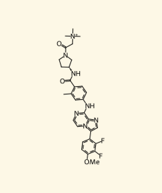 COc1ccc(-c2cnc3c(Nc4ccc(C(=O)N[C@H]5CCN(C(=O)C[N+](C)(C)C)C5)c(C)c4)nccn23)c(F)c1F